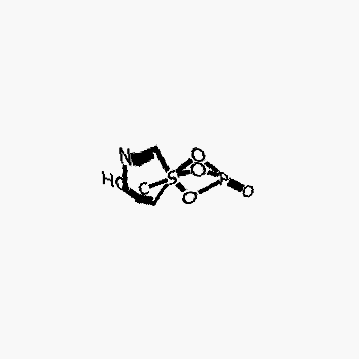 O=C(O)S123(C=CN=C1)OP(=O)(O2)O3